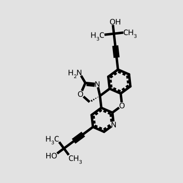 CC(C)(O)C#Cc1ccc2c(c1)[C@@]1(COC(N)=N1)c1cc(C#CC(C)(C)O)cnc1O2